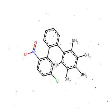 Bc1c(B)c(B)c(-c2ccccc2-c2cc(Cl)ccc2[N+](=O)[O-])c(B)c1B